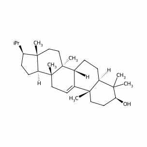 CC(C)[C@@H]1CC[C@H]2[C@@]1(C)CC[C@@]1(C)[C@@H]3CC[C@H]4C(C)(C)[C@@H](O)CC[C@]4(C)C3=CC[C@]21C